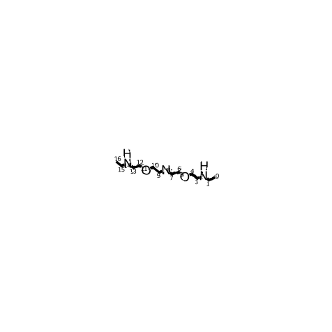 CCNCCOCC[N]CCOCCNCC